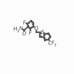 NC(=O)c1c(F)ccc(OCc2cc3cc(C(F)(F)F)ccc3s2)c1F